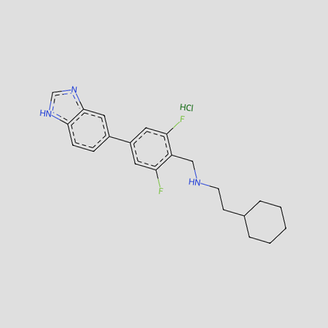 Cl.Fc1cc(-c2ccc3[nH]cnc3c2)cc(F)c1CNCCC1CCCCC1